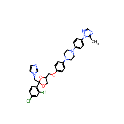 Cc1ncnn1-c1ccc(N2CCN(c3ccc(OCC4COC(Cn5ccnc5)(c5ccc(Cl)cc5Cl)O4)cc3)CC2)cc1